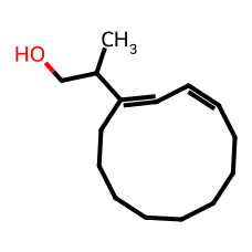 CC(CO)/C1=C\C=C/CCCCCCCC1